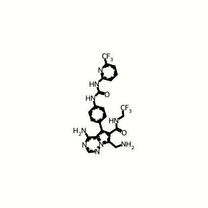 NCc1c(C(=O)NCC(F)(F)F)c(-c2ccc(NC(=O)Nc3cccc(C(F)(F)F)n3)cc2)c2c(N)ncnn12